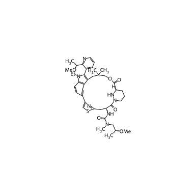 CCn1c(-c2cccnc2[C@H](C)OC)c2c3cc(ccc31)-c1csc(n1)C[C@H](NC(=O)N(C)C[C@H](C)OC)C(=O)N1CCC[C@H](N1)C(=O)OCC(C)(C)C2